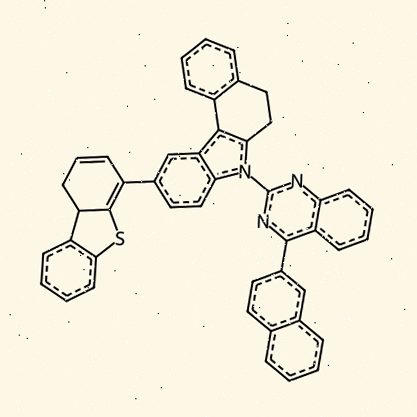 C1=CC(c2ccc3c(c2)c2c(n3-c3nc(-c4ccc5ccccc5c4)c4ccccc4n3)CCc3ccccc3-2)=C2Sc3ccccc3C2C1